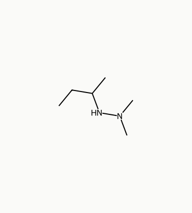 CCC(C)NN(C)C